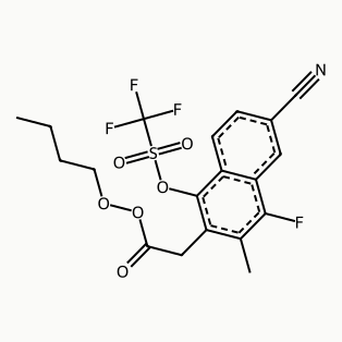 CCCCOOC(=O)Cc1c(C)c(F)c2cc(C#N)ccc2c1OS(=O)(=O)C(F)(F)F